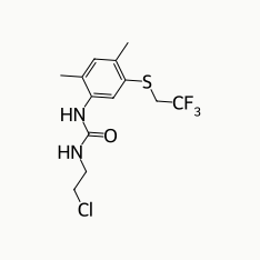 Cc1cc(C)c(SCC(F)(F)F)cc1NC(=O)NCCCl